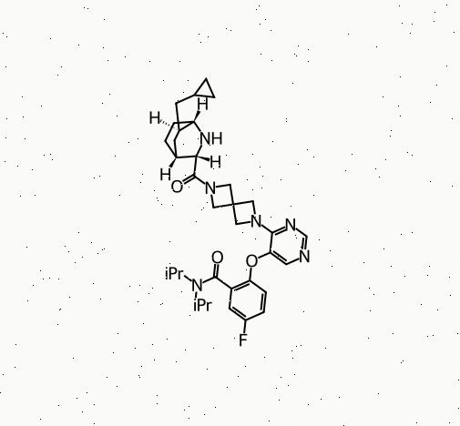 CC(C)N(C(=O)c1cc(F)ccc1Oc1cncnc1N1CC2(CN(C(=O)[C@H]3N[C@H]4CC[C@@H]3C[C@H]4CC3CC3)C2)C1)C(C)C